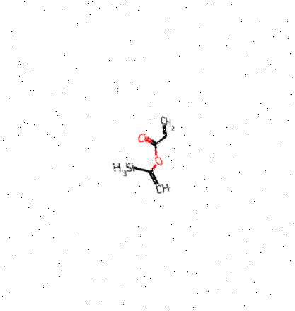 [CH]=C([SiH3])OC(=O)C=C